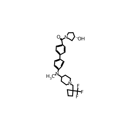 CN(c1ccc(-c2ccc(C(=O)N3CC[C@H](O)C3)cc2)cc1)C1CCN(CC2(C(F)(F)F)CCC2)CC1